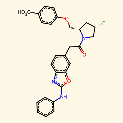 O=C(O)c1ccc(OC[C@@H]2C[C@H](F)CN2C(=O)Cc2ccc3nc(Nc4ccccc4)oc3c2)cc1